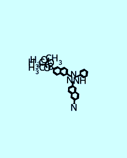 CC1(C)OB(c2ccc3cc(C4=NC(c5ccc6cc(C#N)ccc6c5)NC(c5ccccc5)=N4)ccc3c2)OC1(C)C